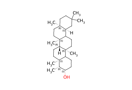 C[C@H]1[C@@H](O)CCC2[C@]3(C)CCC4[C@@H]5CC(C)(C)CC[C@]5(C)CC[C@]4(C)[C@H]3CC[C@@]21C